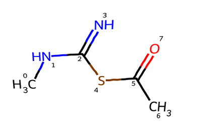 CNC(=N)SC(C)=O